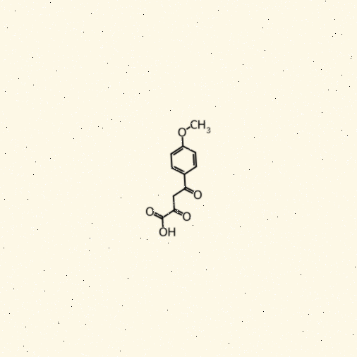 COc1ccc(C(=O)CC(=O)C(=O)O)cc1